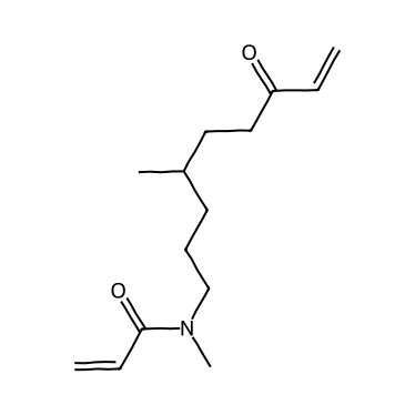 C=CC(=O)CCC(C)CCCN(C)C(=O)C=C